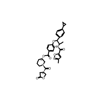 Cc1cc(C(=O)NC(C)C(Oc2ccc(C(=O)O[C@H]3CCCN(C(=O)[C@H]4COC(=O)C4)C3)cc2)c2ccc(C3CC3)cc2)on1